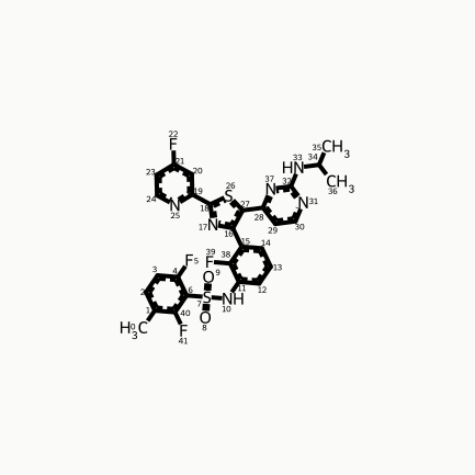 Cc1ccc(F)c(S(=O)(=O)Nc2cccc(-c3nc(-c4cc(F)ccn4)sc3-c3ccnc(NC(C)C)n3)c2F)c1F